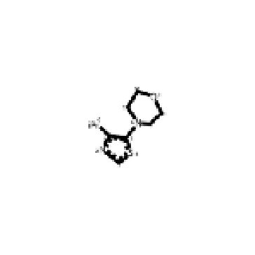 CC(C)c1ncsc1N1CCOCC1